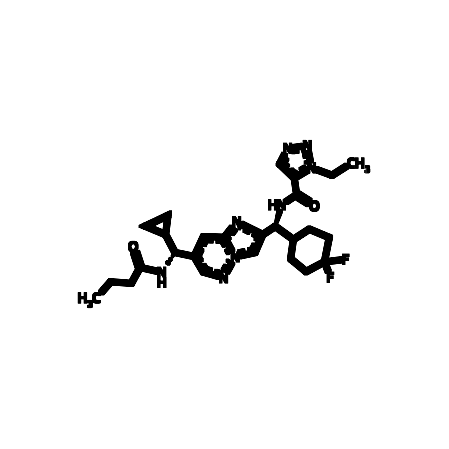 CCCC(=O)N[C@@H](c1cnn2cc([C@@H](NC(=O)c3cnnn3CC)C3CCC(F)(F)CC3)nc2c1)C1CC1